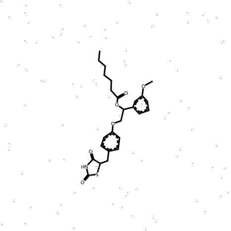 CCCCCCC(=O)OC(COc1ccc(CC2SC(=O)NC2=O)cc1)c1cccc(OC)c1